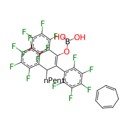 C1=CC=CCC=C1.CCCCCC(/C(=C(/OB(O)O)c1c(F)c(F)c(F)c(F)c1F)c1c(F)c(F)c(F)c(F)c1F)c1c(F)c(F)c(F)c(F)c1F